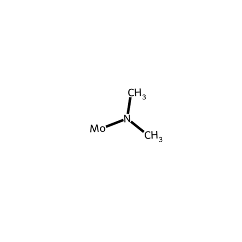 C[N](C)[Mo]